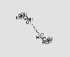 O=C(CCCCCCCCCCC(=O)Nc1ccc(P(=O)(O)O)cc1)Nc1ccc(P(=O)(O)O)cc1